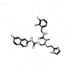 CN(C(=O)NCc1cccc(F)c1F)[C@@H](CCc1ncc[nH]1)COC(=O)Nc1cc2cc(F)ccc2cn1